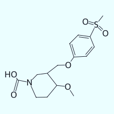 COC1CCN(C(=O)O)CC1COc1ccc(S(C)(=O)=O)cc1